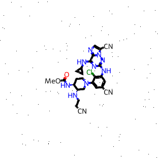 COC(=O)N[C@H]1CCN(c2cc(C#N)cc(Nc3nc(NC4CC4)c4ncc(C#N)n4n3)c2Cl)C[C@@H]1NCCC#N